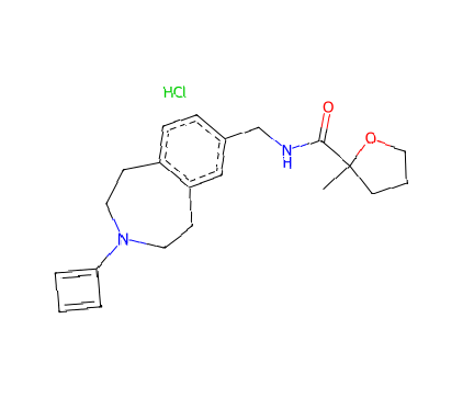 CC1(C(=O)NCc2ccc3c(c2)CCN(C2=CC=C2)CC3)CCCO1.Cl